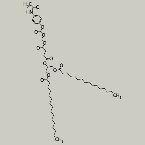 CCCCCCCCCCCCCCCC(=O)OCC(COC(=O)CCCCCCCCCCCCCCC)OC(=O)CCC(=O)OCOC(=O)Oc1ccc(NC(C)=O)cc1